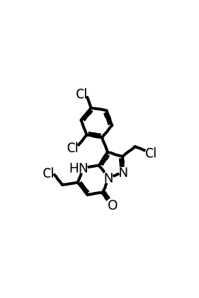 O=c1cc(CCl)[nH]c2c(-c3ccc(Cl)cc3Cl)c(CCl)nn12